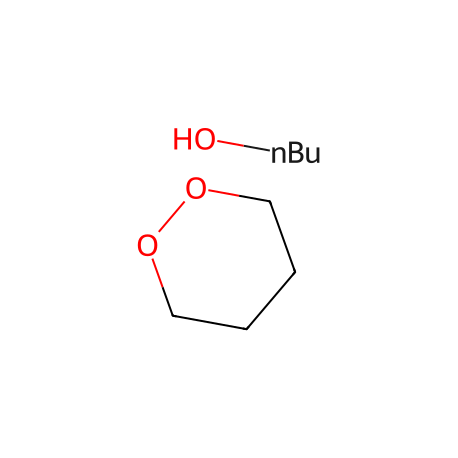 C1CCOOC1.CCCCO